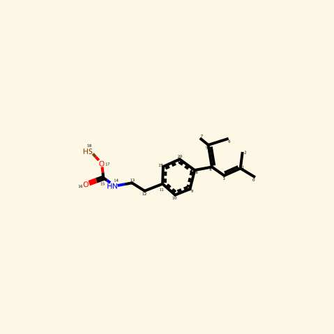 CC(C)=CC(=C(C)C)c1ccc(CCNC(=O)OS)cc1